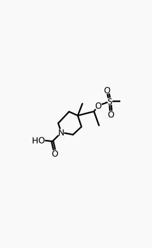 CC(OS(C)(=O)=O)C1(C)CCN(C(=O)O)CC1